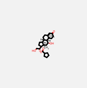 C[C@]12CCC(=O)C=C1CC[C@@H]1[C@@H]2[C@@H](O)C[C@@]2(C)[C@H]1CC[C@]2(OC(=O)C1CCCC1)C(=O)CO